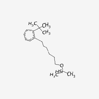 C[SiH](C)OCCCCCCc1ccccc1C(C)(C)C